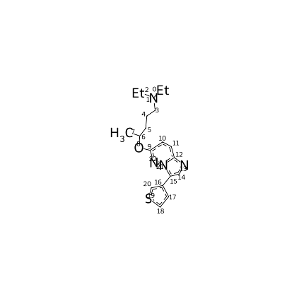 CCN(CC)CCCC(C)Oc1ccc2ncc(-c3ccsc3)n2n1